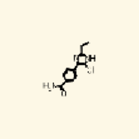 CCc1nc(-c2ccc(C(N)=O)cc2)c(Cl)[nH]1